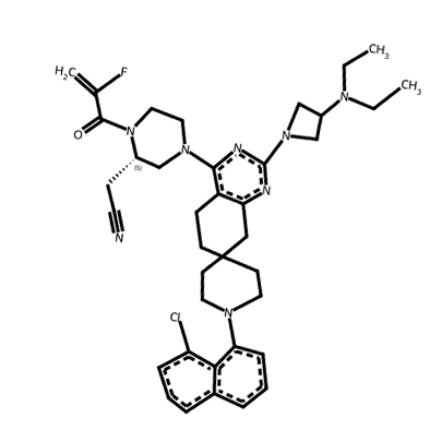 C=C(F)C(=O)N1CCN(c2nc(N3CC(N(CC)CC)C3)nc3c2CCC2(CCN(c4cccc5cccc(Cl)c45)CC2)C3)C[C@@H]1CC#N